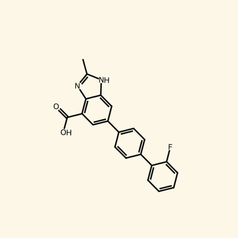 Cc1nc2c(C(=O)O)cc(-c3ccc(-c4ccccc4F)cc3)cc2[nH]1